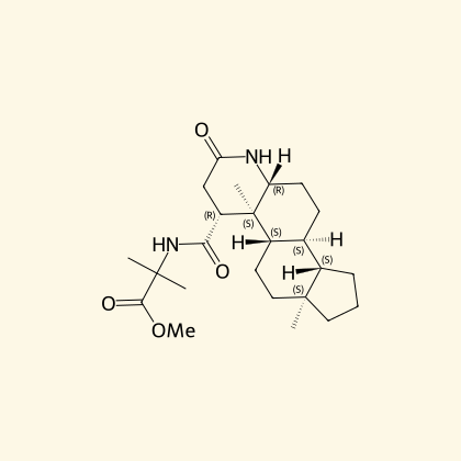 COC(=O)C(C)(C)NC(=O)[C@@H]1CC(=O)N[C@@H]2CC[C@H]3[C@@H]4CCC[C@@]4(C)CC[C@@H]3[C@]21C